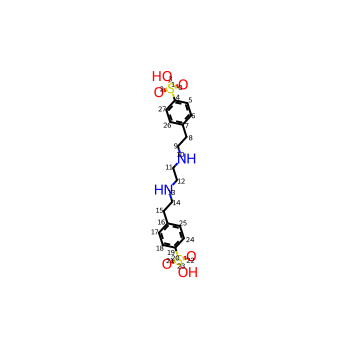 O=S(=O)(O)c1ccc(CCNCCNCCc2ccc(S(=O)(=O)O)cc2)cc1